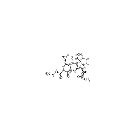 CCOC(=O)c1cn(C2CC2)c2c(Cl)c(C3(CC)CCCN3CNC(C)=O)c([N+](=O)[O-])cc2c1=O